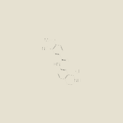 COc1ccc(C(=O)Nc2ccc3c(c2)[C@H](Cl)NCC3)cc1C#N